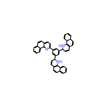 C1=CC2C=CC3=C(NC(c4cc(-c5ccc6ccc7ccccc7c6n5)cc(C5C=Cc6ccc7ccccc7c6N5)c4)C=C3)C2C=C1